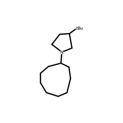 CC(C)(C)C1CCN(C2CCCCCCCC2)C1